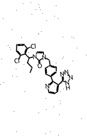 CCCC(c1c(Cl)cccc1Cl)n1ccn(Cc2ccc(-c3ncccc3-c3nnn[nH]3)cc2)c1=O